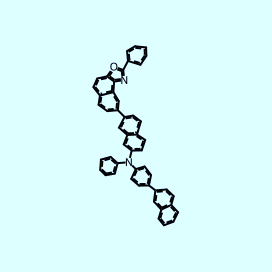 c1ccc(-c2nc3c(ccc4ccc(-c5ccc6ccc(N(c7ccccc7)c7ccc(-c8ccc9ccccc9c8)cc7)cc6c5)cc43)o2)cc1